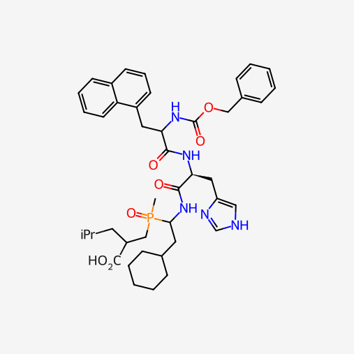 CC(C)CC(CP(C)(=O)C(CC1CCCCC1)NC(=O)[C@H](Cc1c[nH]cn1)NC(=O)C(Cc1cccc2ccccc12)NC(=O)OCc1ccccc1)C(=O)O